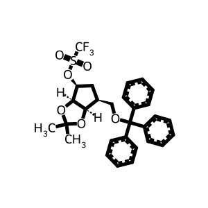 CC1(C)O[C@@H]2[C@H](COC(c3ccccc3)(c3ccccc3)c3ccccc3)C[C@H](OS(=O)(=O)C(F)(F)F)[C@@H]2O1